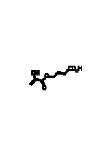 C=C(O)C(=O)OCC=CC(=O)O